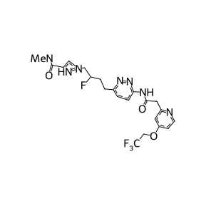 CNC(=O)c1cn(CC(F)CCc2ccc(NC(=O)Cc3cc(OCC(F)(F)F)ccn3)nn2)[nH]1